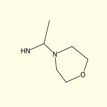 CC([NH])N1CCOCC1